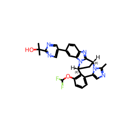 Cc1ncc2n1[C@@H]1C[C@H](c3c(OC(F)F)cccc3-2)n2c1nc1ccc(-c3cnc(C(C)(C)O)nc3)cc12